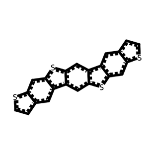 c1cc2cc3c(cc2s1)sc1cc2c(cc13)sc1cc3sccc3cc12